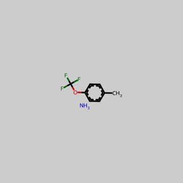 Cc1ccc(OC(F)(F)F)cc1.N